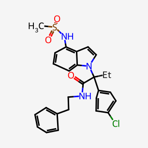 CCC(C(=O)NCCc1ccccc1)(c1ccc(Cl)cc1)n1ccc2c(NS(C)(=O)=O)cccc21